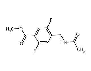 COC(=O)c1cc(F)c(CNC(C)=O)cc1F